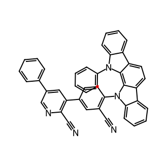 N#Cc1cc(-c2cc(-c3ccccc3)cnc2C#N)ccc1-n1c2ccccc2c2ccc3c4ccccc4n(-c4ccccc4)c3c21